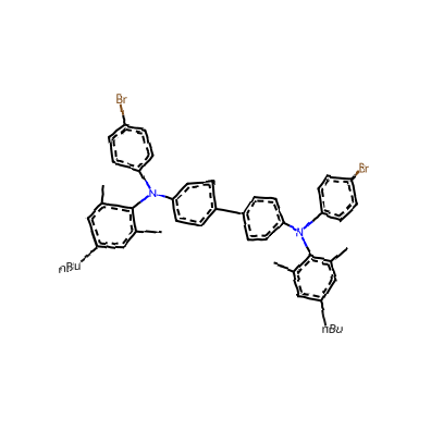 CCCCc1cc(C)c(N(c2ccc(Br)cc2)c2ccc(-c3ccc(N(c4ccc(Br)cc4)c4c(C)cc(CCCC)cc4C)cc3)cc2)c(C)c1